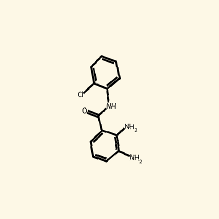 Nc1cccc(C(=O)Nc2ccccc2Cl)c1N